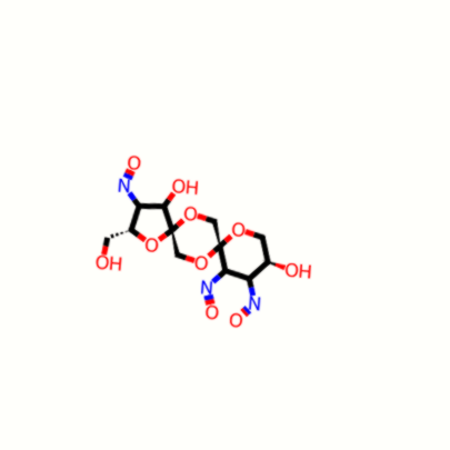 O=NC1C(N=O)[C@@]2(CO[C@]3(CO2)O[C@H](CO)C(N=O)C3O)OC[C@H]1O